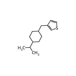 CC(C)C1CCC(Cc2ccsc2)CC1